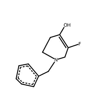 OC1=C(F)CN(Cc2ccccc2)CC1